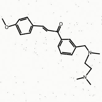 COc1ccc(C=CC(=O)c2cccc(CN(C)CCN(C)C)c2)cc1